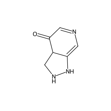 O=C1C=NC=C2NNCC12